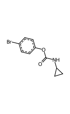 O=C(NC1CC1)Oc1ccc(Br)cc1